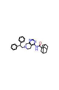 O=C(Nc1ncnc2c1CCN(CC(c1ccccc1)c1ccccc1)C2)C12CC3CC(CC(C3)C1)C2